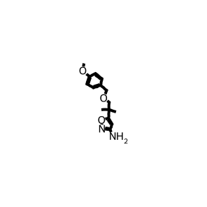 COc1ccc(COCC(C)(C)c2cc(N)no2)cc1